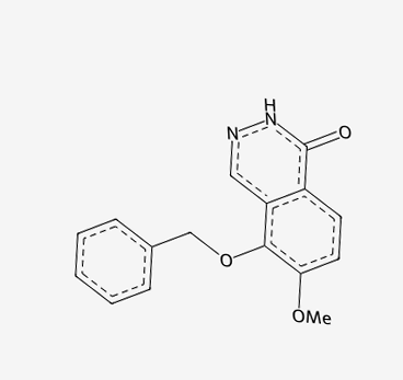 COc1ccc2c(=O)[nH]ncc2c1OCc1ccccc1